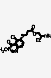 CCCCC(CC)COC(=O)CCSc1ccc2ncn(C)c(=O)c2c1Cl